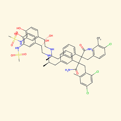 Cc1cc(Cl)cc(Cl)c1CC(C(N)=O)(c1cccc(C[C@@H](C)NC[C@@H](O)c2ccc(O)c(NS(C)(=O)=O)c2)c1)C(Cc1ccc(Cl)c(C(F)(F)F)c1)(C(N)=O)c1cccc(C[C@@H](C)NC[C@@H](O)c2ccc(O)c(NS(C)(=O)=O)c2)c1